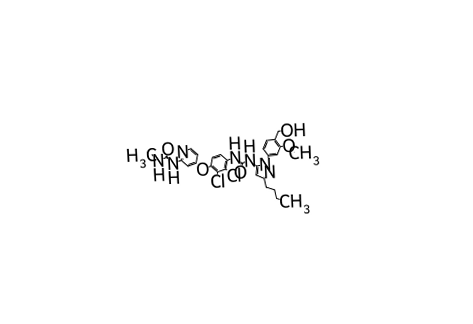 CCCCc1cc(NC(=O)Nc2ccc(Oc3ccnc(NC(=O)NC)c3)c(Cl)c2Cl)n(-c2ccc(CO)c(OC)c2)n1